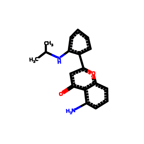 CC(C)Nc1ccccc1-c1cc(=O)c2c(N)cccc2o1